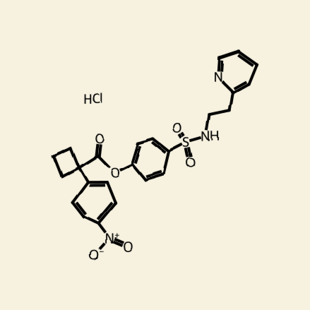 Cl.O=C(Oc1ccc(S(=O)(=O)NCCc2ccccn2)cc1)C1(c2ccc([N+](=O)[O-])cc2)CCC1